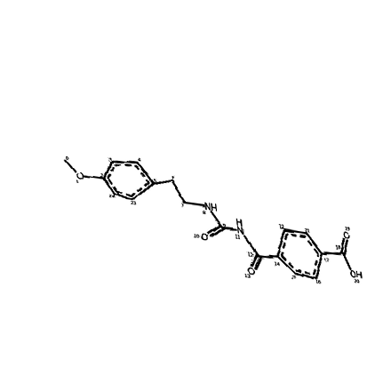 COc1ccc(CCNC(=O)NC(=O)c2ccc(C(=O)O)cc2)cc1